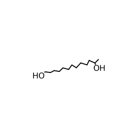 CC(O)CCCCCCCCCCCO